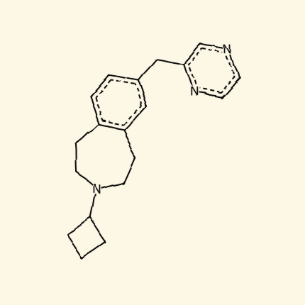 c1cnc(Cc2ccc3c(c2)CCN(C2CCC2)CC3)cn1